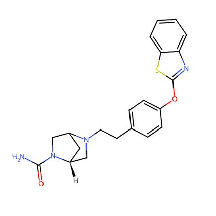 NC(=O)N1CC2C[C@@H]1CN2CCc1ccc(Oc2nc3ccccc3s2)cc1